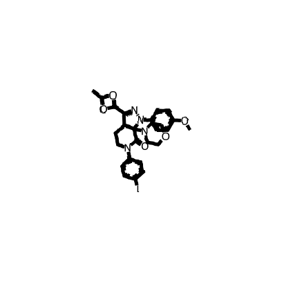 COc1ccc(N2N=C(C3OC(C)O3)C3CCN(c4ccc(I)cc4)C(=O)C32N2CCOCC2)cc1